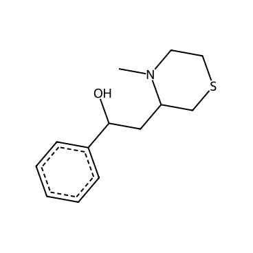 CN1CCSCC1CC(O)c1ccccc1